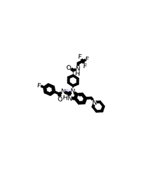 O=C(/N=c1\[nH]c2ccc(CN3CCCCC3)cc2n1[C@H]1CC[C@@H](C(=O)NCC(F)(F)F)CC1)c1ccc(F)cc1